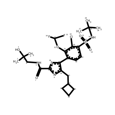 CC(C)(O)CNC(=O)c1nc(CC2CCC2)c(-c2ccc(S(=O)(=O)NC(C)(C)C)c(Cl)c2OC(F)F)s1